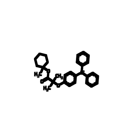 CC1(OC(=O)C(C)(C)Oc2ccc([S+](c3ccccc3)c3ccccc3)cc2)CCCCC1